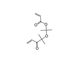 C=CC(=O)OC(C)(C)OC(C)(C)C(=O)C=C